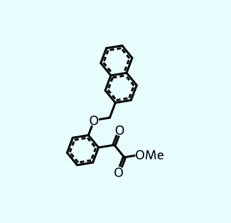 COC(=O)C(=O)c1ccccc1OCc1ccc2ccccc2c1